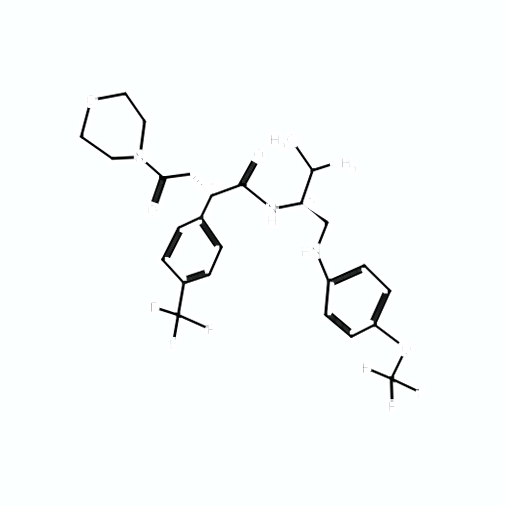 CC(C)[C@@H](CNc1ccc(OC(F)(F)F)cc1)NC(=O)[C@@H](CC(=O)N1CCOCC1)c1ccc(C(F)(F)F)cc1